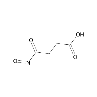 O=NC(=O)CCC(=O)O